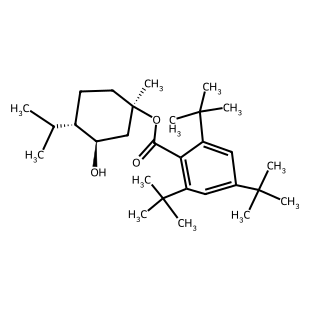 CC(C)[C@@H]1CC[C@@](C)(OC(=O)c2c(C(C)(C)C)cc(C(C)(C)C)cc2C(C)(C)C)C[C@H]1O